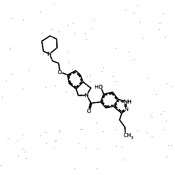 CCCc1n[nH]c2cc(O)c(C(=O)N3Cc4ccc(OCCN5CCCCC5)cc4C3)cc12